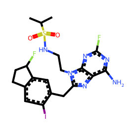 CC(C)S(=O)(=O)NCCn1c(Cc2cc3c(cc2I)CCC3F)nc2c(N)nc(F)nc21